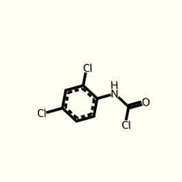 O=C(Cl)Nc1ccc(Cl)cc1Cl